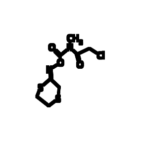 CN(C(=O)CCl)C(=O)ON=C1CSCCS1